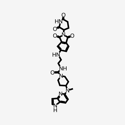 CN(c1ccc2[nH]ccc2n1)C1CCN(C(=O)NCCNc2ccc3c(c2)C(=O)N(C2CCC(=O)NC2=O)C3=O)CC1